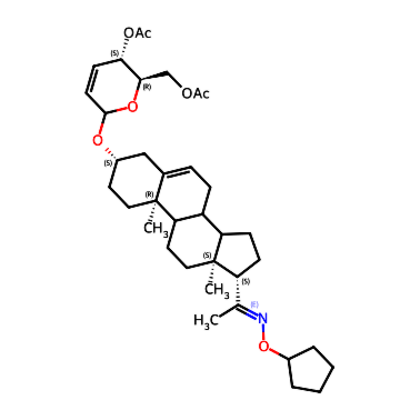 CC(=O)OC[C@H]1OC(O[C@H]2CC[C@@]3(C)C(=CCC4C3CC[C@@]3(C)C4CC[C@@H]3/C(C)=N/OC3CCCC3)C2)C=C[C@@H]1OC(C)=O